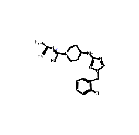 CC(=N)/N=C(\S)N1CCC(Nc2ncn(Cc3ccccc3Cl)n2)CC1